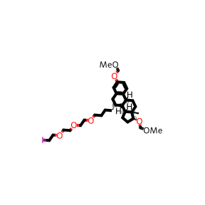 COCOc1ccc2c(c1)C[C@@H](CCCCOCCOCCOCCI)[C@@H]1[C@@H]2CC[C@]2(C)[C@@H](OCOC)CC[C@@H]12